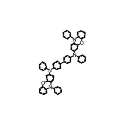 c1ccc(N(c2ccc(-c3ccc(N(c4ccccc4)c4ccc5c(c4)Oc4ccccc4N5c4ccccc4)cc3)cc2)c2ccc3c(c2)Oc2ccccc2N3c2ccccc2)cc1